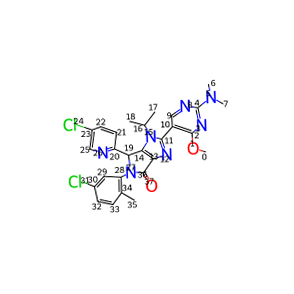 COc1nc(N(C)C)ncc1-c1nc2c(n1C(C)C)C(c1ccc(Cl)cn1)N(c1cc(Cl)ccc1C)C2=O